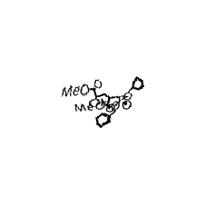 COC(=O)C(O)CC(CP(=O)(OCc1ccccc1)OCc1ccccc1)C(=O)OC